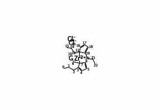 CCCC1=CC=C[C]1(CCC)[Zr+2][C]1(CCC)C=CC=C1CCC.[Cl-].[Cl-]